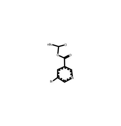 CCCCC(Cl)OC(=O)c1cncc(Br)c1